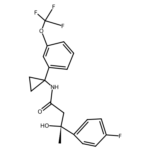 C[C@@](O)(CC(=O)NC1(c2cccc(OC(F)(F)F)c2)CC1)c1ccc(F)cc1